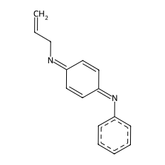 C=CCN=C1C=CC(=Nc2ccccc2)C=C1